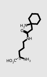 N[C@@H](CCCNC(=O)CC1(N)CCCCC1)C(=O)O